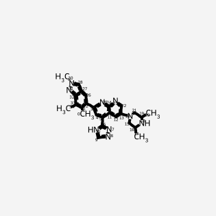 Cc1c(-c2cc(-c3nnc[nH]3)c3cc(N4CC(C)NC(C)C4)cnc3n2)cc2cn(C)nc2c1C